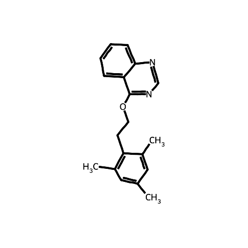 Cc1cc(C)c(CCOc2ncnc3ccccc23)c(C)c1